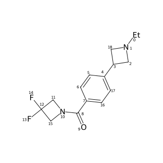 CCN1CC(c2ccc(C(=O)N3CC(F)(F)C3)cc2)C1